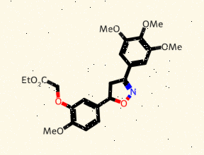 CCOC(=O)COc1cc(C2CC(c3cc(OC)c(OC)c(OC)c3)=NO2)ccc1OC